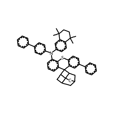 CC1(C)CCC(C)(C)c2cc(N(c3ccc(-c4ccccc4)cc3)c3cccc4c3Sc3ccc(-c5ccccc5)cc3C43C4CC5CC6CC3C64C5)ccc21